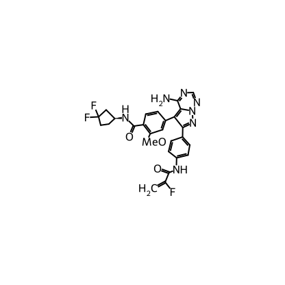 C=C(F)C(=O)Nc1ccc(-c2nn3ncnc(N)c3c2-c2ccc(C(=O)N[C@H]3CCC(F)(F)C3)c(OC)c2)cc1